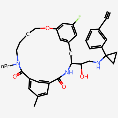 C#Cc1cccc(C2(NCC(O)C3Cc4cc(F)cc(c4)OCCCCN(CCC)C(=O)c4cc(C)cc(c4)C(=O)N3)CC2)c1